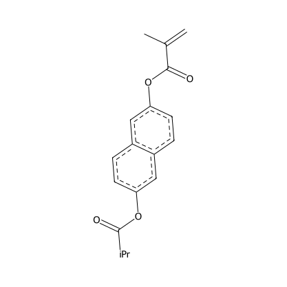 C=C(C)C(=O)Oc1ccc2cc(OC(=O)C(C)C)ccc2c1